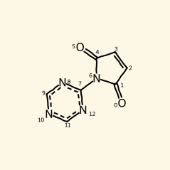 O=C1C=CC(=O)N1c1ncncn1